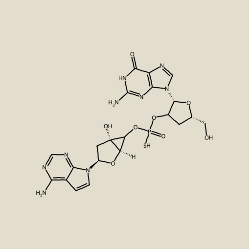 Nc1nc2c(ncn2[C@@H]2O[C@H](CO)CC2OP(=O)(S)OC2[C@H]3O[C@@H](n4ccc5c(N)ncnc54)C[C@@]23O)c(=O)[nH]1